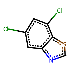 Clc1cc(Cl)c2s[c]nc2c1